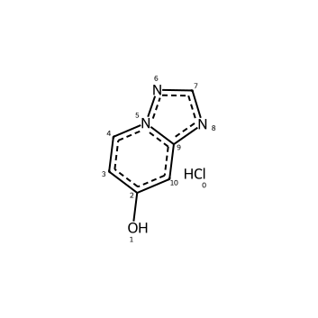 Cl.Oc1ccn2ncnc2c1